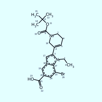 CCn1c(C2=CCCN(C(=O)OC(C)(C)C)C2)cc2cc(C(=O)O)cc(Br)c21